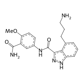 COc1ccc(NC(=O)c2n[nH]c3cccc(CCCN)c23)cc1C(N)=O